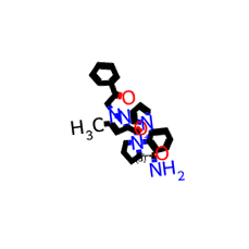 Cc1cc(C(=O)[N+]2(c3ccccc3-n3cccc3)CCC[C@H]2C(N)=O)nn1CC(=O)c1ccccc1